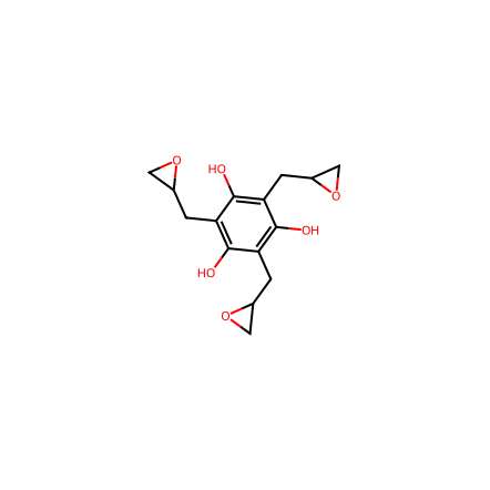 Oc1c(CC2CO2)c(O)c(CC2CO2)c(O)c1CC1CO1